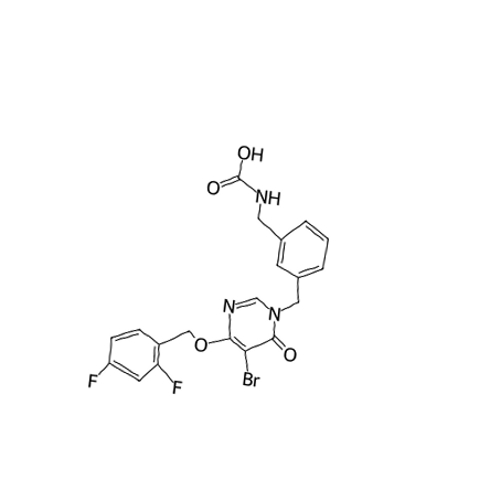 O=C(O)NCc1cccc(Cn2cnc(OCc3ccc(F)cc3F)c(Br)c2=O)c1